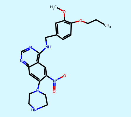 CCCOc1ccc(CNc2ncnc3cc(N4CCNCC4)c([N+](=O)[O-])cc23)cc1OC